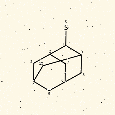 [S]C1C2CC3CC(C2)CC1C3